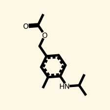 CC(=O)OCc1ccc(NC(C)C)c(C)c1